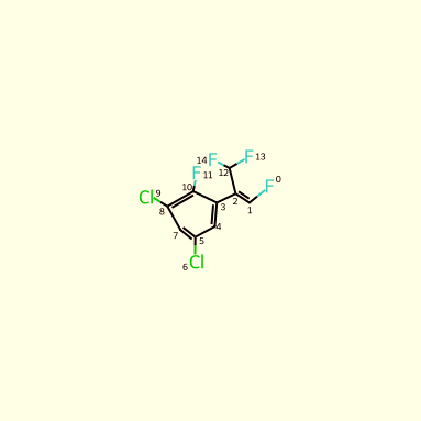 FC=C(c1cc(Cl)cc(Cl)c1F)C(F)F